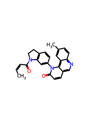 C/C=C\C(=O)N1CCc2ccc(-n3c(=O)ccc4cnc5ccc(C)cc5c43)cc21